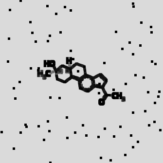 CC(=O)C1=c2ccc3c(c2C=C1)CC[C@@H]1C[C@](C)(O)CCC=31